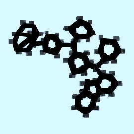 c1ccc(N(c2ccc(C34CC5CC(CC(C5)C3)C4)cc2)c2cccc(N(c3ccccc3)c3cccc4c3sc3ccccc34)c2)cc1